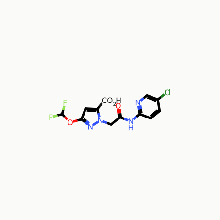 O=C(Cn1nc(OC(F)F)cc1C(=O)O)Nc1ccc(Cl)cn1